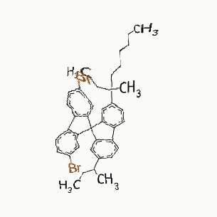 CCCCCCC(C)(CC)c1ccc2c(c1)C1(c3cc(Br)ccc3-c3ccc(Br)cc31)c1cc(C(C)CC)ccc1-2